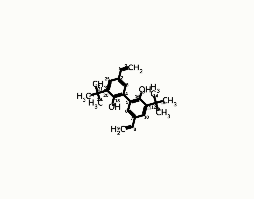 C=Cc1cc(-c2cc(C=C)cc(C(C)(C)C)c2O)c(O)c(C(C)(C)C)c1